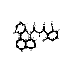 O=C(NC(=O)c1c(F)cccc1F)Nc1nccnc1-c1cccc2ccccc12